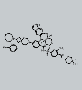 CC(C)c1ccccc1[C@@H]1COCCCN1C1CC2(CCN(c3ccc(C(=O)NS(=O)(=O)c4ccc(NC[C@H]5CC[C@](C)(O)CC5)c([N+](=O)[O-])c4)c(N4c5cc6cc[nH]c6nc5O[C@H]5COCC[C@@H]54)c3)CC2)C1